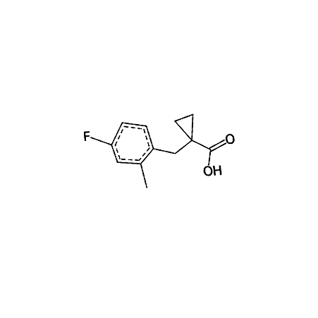 Cc1cc(F)ccc1CC1(C(=O)O)CC1